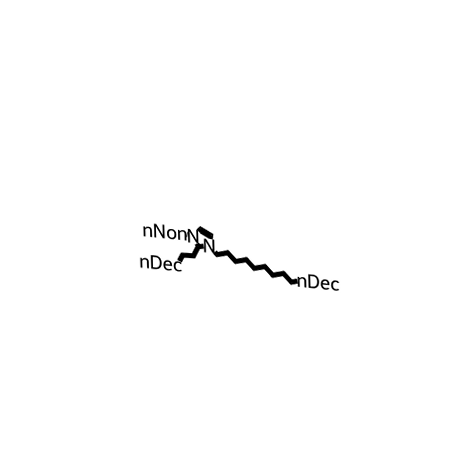 CCCCCCCCCCCCCCCCCCCN1C=CN(CCCCCCCCC)C1CCCCCCCCCCCC